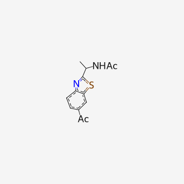 CC(=O)NC(C)c1nc2ccc(C(C)=O)cc2s1